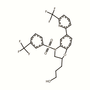 O=S(=O)(c1cccc(C(F)(F)F)c1)N1CC(CCCO)Oc2ccc(-c3cccc(C(F)(F)F)n3)cc21